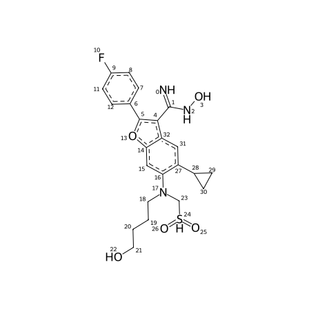 N=C(NO)c1c(-c2ccc(F)cc2)oc2cc(N(CCCCO)C[SH](=O)=O)c(C3CC3)cc12